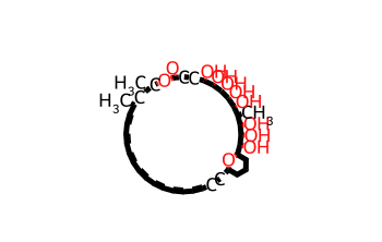 CC1C=CC=CC=CC=CC=CC=CC=CCCC2CCCC(O2)C(O)C(O)C(O)C(C)C(O)C(O)C(O)C(O)C(O)CCC(=O)OCC(C)C1